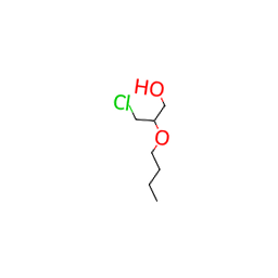 CCCCOC(CO)CCl